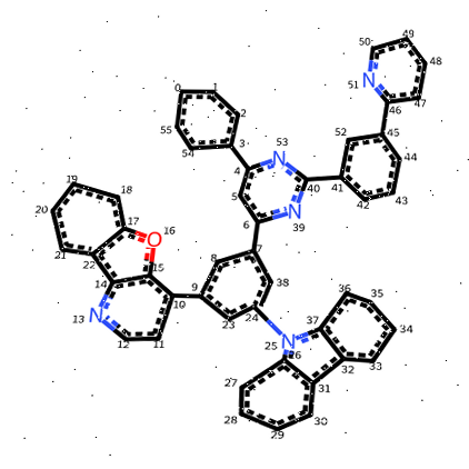 c1ccc(-c2cc(-c3cc(-c4ccnc5c4oc4ccccc45)cc(-n4c5ccccc5c5ccccc54)c3)nc(-c3cccc(-c4ccccn4)c3)n2)cc1